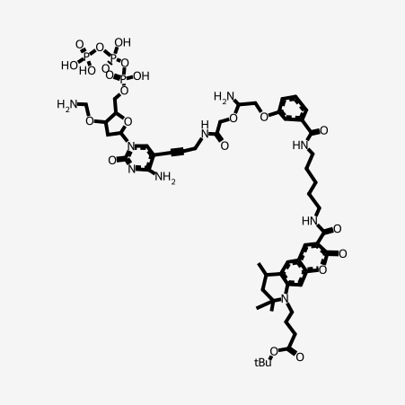 CC1CC(C)(C)N(CCCC(=O)OC(C)(C)C)c2cc3oc(=O)c(C(=O)NCCCCCNC(=O)c4cccc(OCC(N)OCC(=O)NCC#Cc5cn(C6CC(OCN)C(COP(=O)(O)OP(=O)(O)OP(=O)(O)O)O6)c(=O)nc5N)c4)cc3cc21